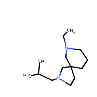 CCN1CCCC2(CCN(CC(C)C)C2)C1